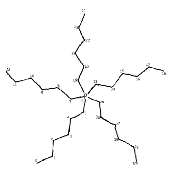 CCCCCCP(CCCCCC)(CCCCCC)(CCCCCC)CCCCCC